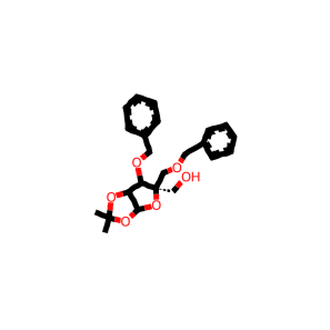 CC1(C)OC2O[C@](CO)(COCc3ccccc3)C(OCc3ccccc3)C2O1